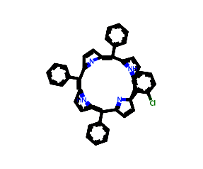 Clc1ccccc1C12C=CC(=N1)C(c1ccccc1)=c1ccc([nH]1)=C(c1ccccc1)C1=NC(=C(c3ccccc3)c3ccc([nH]3)C2)C=C1